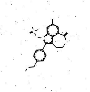 CNCc1ccc(-c2c3c4c(cc(F)cc4n2OP(=O)(O)O)C(=O)NCC3)cc1